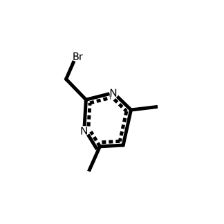 Cc1cc(C)nc(CBr)n1